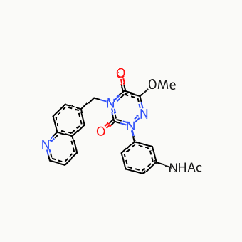 COc1nn(-c2cccc(NC(C)=O)c2)c(=O)n(Cc2ccc3ncccc3c2)c1=O